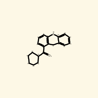 O=C(c1cccc2c1Cc1ccccc1S2)C1CCCCC1